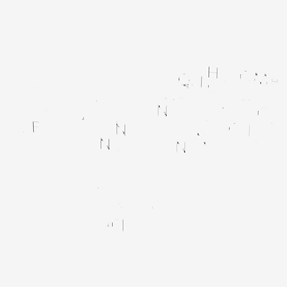 COC(=O)C(C)(C)c1nnc(-c2nn(Cc3ccccc3F)c3cc(Cl)ccc23)nc1O